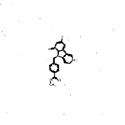 COC(=O)c1ccc(CN2C3=CCNC=C3C3=CC(F)=CC(=O)C32)cc1